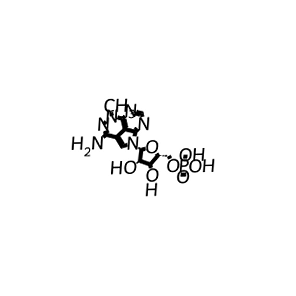 CN1N=C(N)c2cn([C@@H]3O[C@H](COP(=O)(O)O)C(O)[C@@H]3O)c3ncnc1c23